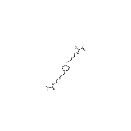 C=C(C)C(=O)OCCSCCc1ccc(CCSCCOC(=O)C(=C)C)cc1